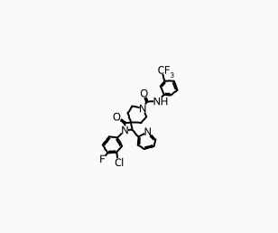 O=C(Nc1cccc(C(F)(F)F)c1)N1CCC2(CC1)C(=O)N(c1ccc(F)c(Cl)c1)C2c1ccccn1